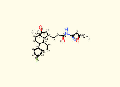 Cc1cc(NC(=O)CC[C@@H]2CC(=O)[C@@]3(C)CCC4c5ccc(F)cc5CCC4C23)no1